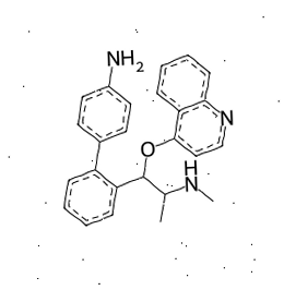 CNC(C)C(Oc1ccnc2ccccc12)c1ccccc1-c1ccc(N)cc1